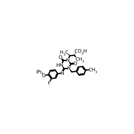 Cc1ccc(Cn2c(=O)n([C@@H](C)[C@@H](C)C(=O)O)c(=O)[nH]/c2=N\c2ccc(OC(C)C)c(F)c2)cc1